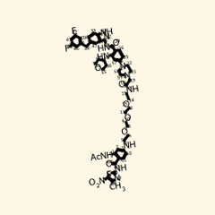 CC(=O)Nc1cc(NCCOCCOCCOCCNC(=O)CN2CCN(c3ccc(C(=O)Nc4n[nH]c5ccc(Cc6cc(F)cc(F)c6)cc45)c(NC4CCOCC4)c3)CC2)ccc1C(=O)Nc1nc(C)c([N+](=O)[O-])s1